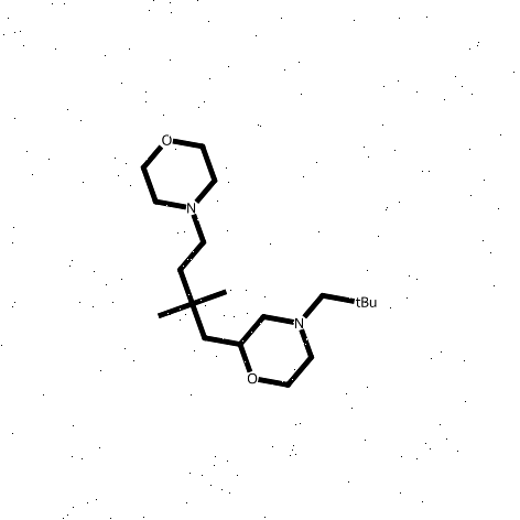 CC(C)(C)CN1CCOC(CC(C)(C)CCN2CCOCC2)C1